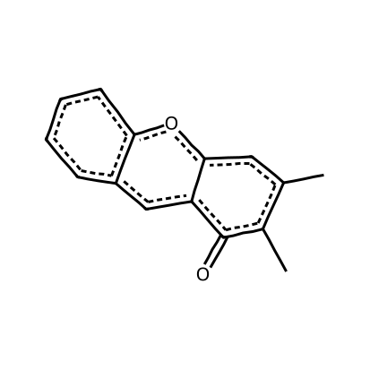 Cc1cc2oc3ccccc3cc-2c(=O)c1C